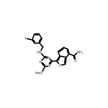 COc1nc(NCc2cccc(F)c2)nc(-c2occ3c(C(N)=O)cccc23)n1